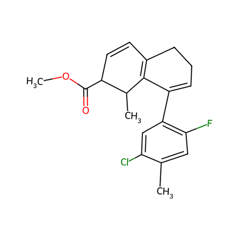 COC(=O)C1C=CC2=C(C(c3cc(Cl)c(C)cc3F)=CCC2)C1C